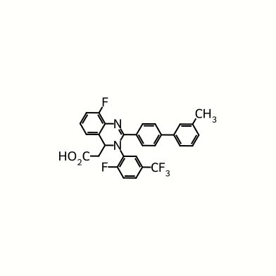 Cc1cccc(-c2ccc(C3=Nc4c(F)cccc4C(CC(=O)O)N3c3cc(C(F)(F)F)ccc3F)cc2)c1